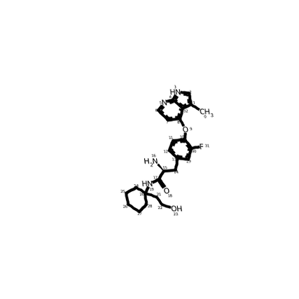 Cc1c[nH]c2nccc(Oc3ccc(C[C@H](N)C(=O)NC4(CCO)CCCCC4)cc3F)c12